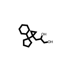 OCC(O)CC1(C2(C3CCCCC3)CCCC2)CC1